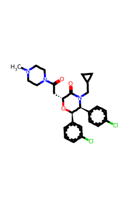 CN1CCN(C(=O)C[C@H]2O[C@H](c3cccc(Cl)c3)[C@H](c3ccc(Cl)cc3)N(CC3CC3)C2=O)CC1